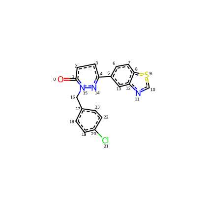 O=c1ccc(-c2ccc3scnc3c2)nn1Cc1ccc(Cl)cc1